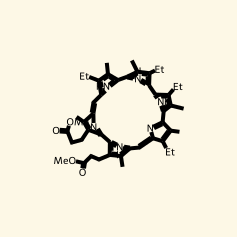 CCC1=C(C)C2=N/C1=C\c1[nH]c(c(CCC(=O)OC)c1C)C1=N/C(=C\c3[nH]c(c(C)c3CC)-c3[nH]c(c(CC)c3C)-c3[nH]c2c(C)c3CC)C(C)=C1CCC(=O)OC